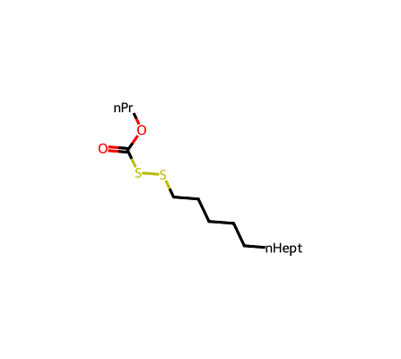 CCCCCCCCCCCCSSC(=O)OCCC